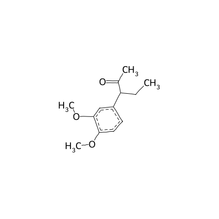 CCC(C(C)=O)c1ccc(OC)c(OC)c1